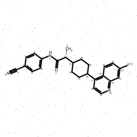 C[C@@H](C(=O)Nc1ccc(C#N)cc1)C1CCC(c2ccnc3cc(F)ccc23)CC1